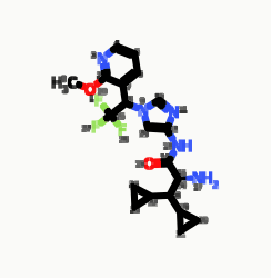 COc1ncccc1C(n1cnc(NC(=O)[C@@H](N)C(C2CC2)C2CC2)c1)C(F)(F)F